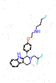 C[C@@H]1Cc2c([nH]c3ccccc23)[C@@H](c2ccc(OCCNCCCF)cc2)N1CC(F)F